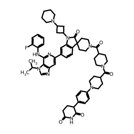 CC(C)n1cnc2cc(-c3ccc4c(c3)N(C3CC(N5CCCCC5)C3)C(=O)C43CCN(C(=O)C4CCN(C(=O)C5CCN(c6ccc(C7CCC(=O)NC7=O)cc6)CC5)CC4)CC3)nc(Nc3ccccc3F)c21